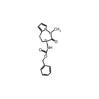 CN1C(=O)[C@@H](NC(=O)OCc2ccccc2)CSc2cccn21